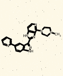 CN1CCN(c2nccc3[nH]c(-c4n[nH]c5ccc(-c6ccccn6)cc45)nc23)CC1